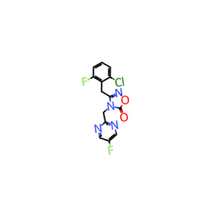 O=c1onc(Cc2c(F)cccc2Cl)n1Cc1ncc(F)cn1